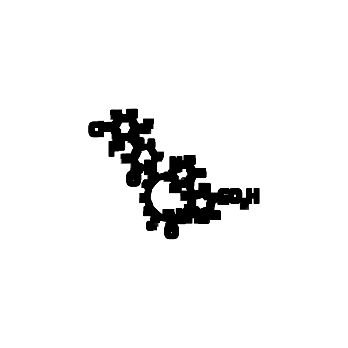 C[C@@H]1CCC[C@H](N2CCC(c3c(F)ccc(Cl)c3F)=CC2=O)c2cc(ccn2)-c2cc(C(=O)O)ccc2NC1=O